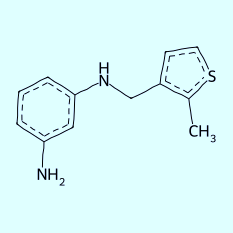 Cc1sccc1CNc1cccc(N)c1